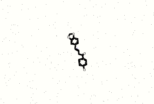 O=C(C/C=C/c1ccc2c(c1)OCO2)c1ccc(Cl)cc1